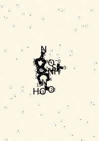 CC(C)(C)[S@@+]([O-])N[C@@H]1c2cc(C#N)ccc2CC12CCN(C(=O)O)CC2